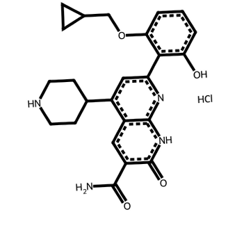 Cl.NC(=O)c1cc2c(C3CCNCC3)cc(-c3c(O)cccc3OCC3CC3)nc2[nH]c1=O